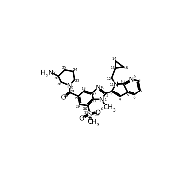 Cn1c(-c2cc3cccnc3n2CC2CC2)nc2cc(C(=O)N3CCCC(N)C3)cc(S(C)(=O)=O)c21